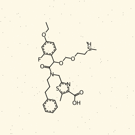 CCOc1ccc(C(OCOCC[SiH](C)C)C(=O)N(CCCc2ccccc2)Cc2nc(C(=O)O)c(C)s2)c(F)c1